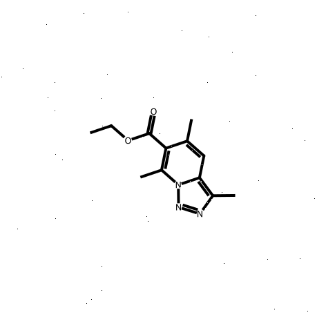 CCOC(=O)c1c(C)cc2c(C)nnn2c1C